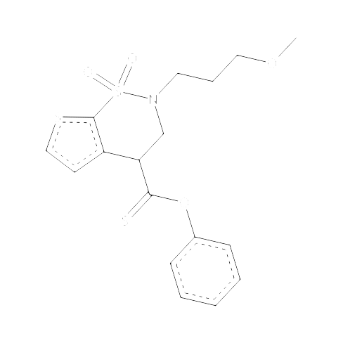 COCCCN1CC(C(=S)Oc2ccccc2)c2ccsc2S1(=O)=O